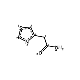 NC(=O)Cc1cs[c]n1